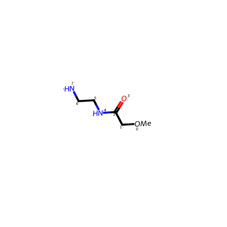 COCC(=O)NCC[NH]